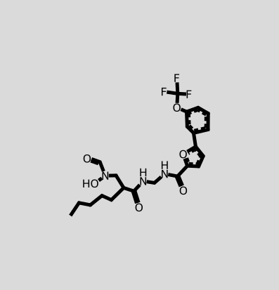 CCCCCC(CN(O)C=O)C(=O)NCNC(=O)c1ccc(-c2cccc(OC(F)(F)F)c2)o1